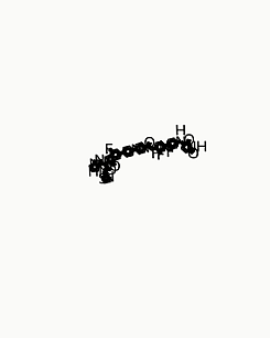 O=C1CCC(Nc2ccc(N3CCC(CC(=O)N4CCN(c5ccc(-c6cc(F)c7c(c6)C(=O)N(C(C(=O)Nc6nccs6)c6ncn8c6CCC8)C7)cc5)CC4)C(F)(F)C3)c(F)c2)C(=O)N1